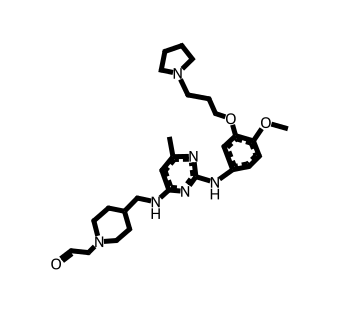 COc1ccc(Nc2nc(C)cc(NCC3CCN(CC=O)CC3)n2)cc1OCCCN1CCCC1